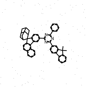 CC1(C)c2ccccc2-c2ccc(-c3nc(-c4ccccc4)nc(-c4ccc5c(c4)-c4c(ccc6ccccc46)C54C5CC6CC(C5)CC4C6)n3)cc21